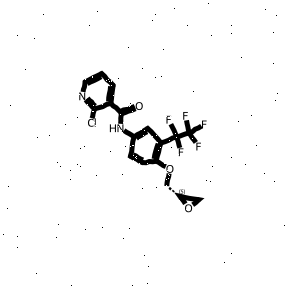 O=C(Nc1ccc(OC[C@@H]2CO2)c(C(F)(F)C(F)(F)F)c1)c1cccnc1Cl